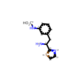 NC(Cc1cccc(NC(=O)O)c1)c1nccs1